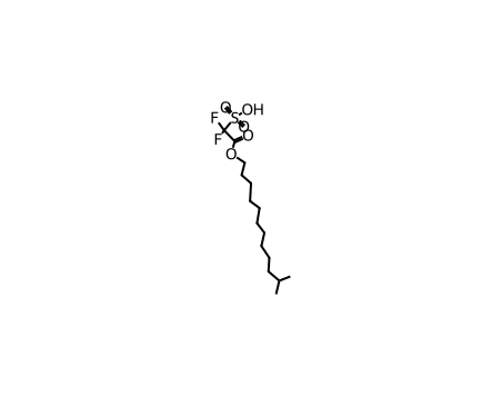 CC(C)CCCCCCCCCCOC(=O)C(F)(F)S(=O)(=O)O